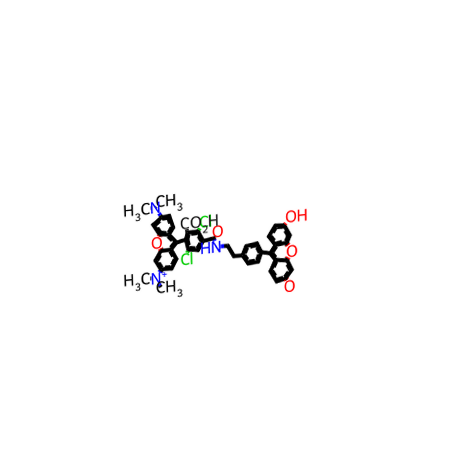 CN(C)c1ccc2c(-c3c(Cl)cc(C(=O)NCCc4ccc(-c5c6ccc(=O)cc-6oc6cc(O)ccc56)cc4)c(Cl)c3C(=O)O)c3ccc(=[N+](C)C)cc-3oc2c1